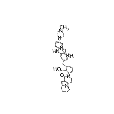 CN1CCN(c2ccc(Nc3cc(Cc4cccc(N5CCc6c(cc7n6CCCC7)C5=O)c4CO)c[nH]c3=O)nc2)CC1